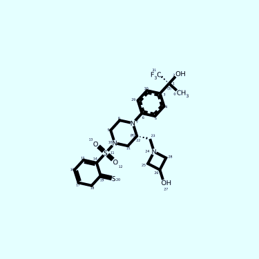 C[C@](O)(c1ccc(N2CCN(S(=O)(=O)C3=CC=CCC3=S)C[C@H]2CN2CC(O)C2)cc1)C(F)(F)F